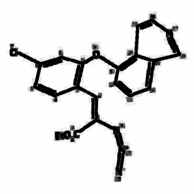 CCOC(=O)/C(=C\c1ccc(Cl)cc1Oc1cccc2cnccc12)N=[N+]=[N-]